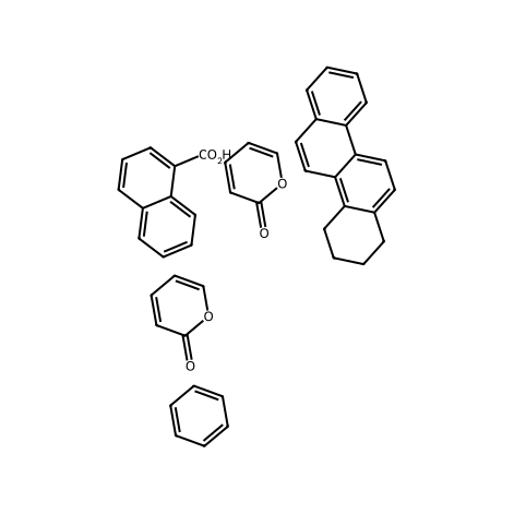 O=C(O)c1cccc2ccccc12.O=c1cccco1.O=c1cccco1.c1ccc2c(c1)ccc1c3c(ccc12)CCCC3.c1ccccc1